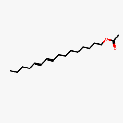 CCCC/C=C/C=C/CCCCCCCCOC(C)=O